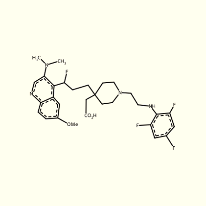 COc1ccc2ncc(N(C)C)c(C(F)CCC3(CC(=O)O)CCN(CCNc4c(F)cc(F)cc4F)CC3)c2c1